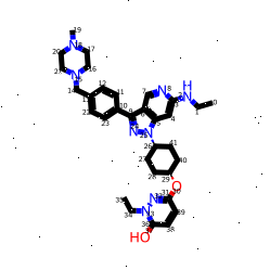 CCNc1cc2c(cn1)c(-c1ccc(CN3CCN(C)CC3)cc1)nn2[C@H]1CC[C@@H](OC2=NN(CC)C(O)C=C2)CC1